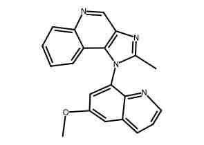 COc1cc(-n2c(C)nc3cnc4ccccc4c32)c2ncccc2c1